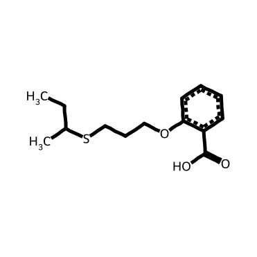 CCC(C)SCCCOc1ccccc1C(=O)O